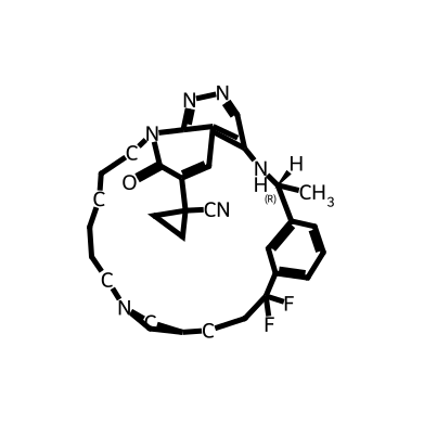 C[C@H]1Nc2cnnc3c2cc(C2(C#N)CC2)c(=O)n3CCCCCCN2CC(CCC(F)(F)c3cccc1c3)C2